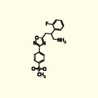 CS(=O)(=O)c1ccc(-c2noc(CC(CN)c3ccccc3F)n2)cc1